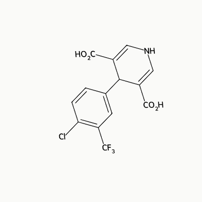 O=C(O)C1=CNC=C(C(=O)O)C1c1ccc(Cl)c(C(F)(F)F)c1